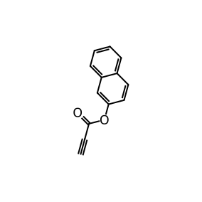 C#CC(=O)Oc1ccc2ccccc2c1